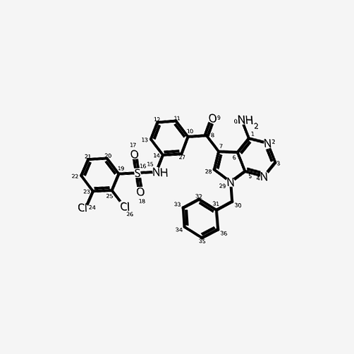 Nc1ncnc2c1c(C(=O)c1cccc(NS(=O)(=O)c3cccc(Cl)c3Cl)c1)cn2Cc1ccccc1